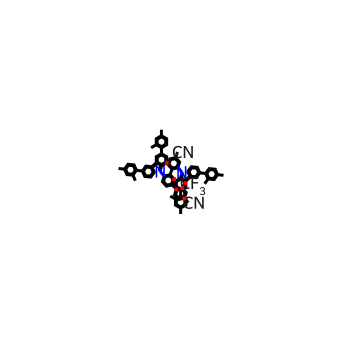 Cc1ccc(-c2ccc3c(c2)c2cc(-c4ccc(C)cc4C)ccc2n3-c2ccc(-c3ccc(C#N)cc3C(F)(F)F)cc2-c2ccc(C#N)cc2-n2c3ccc(-c4ccc(C)cc4C)cc3c3cc(-c4ccc(C)cc4C)ccc32)c(C)c1